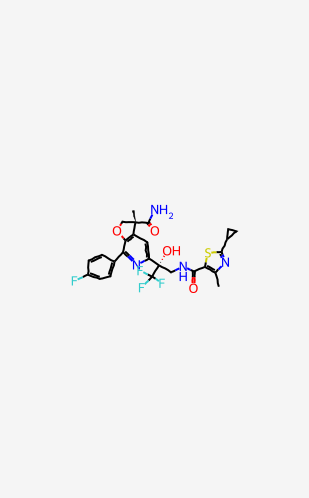 Cc1nc(C2CC2)sc1C(=O)NC[C@](O)(c1cc2c(c(-c3ccc(F)cc3)n1)OC[C@]2(C)C(N)=O)C(F)(F)F